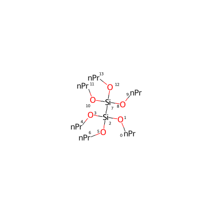 CCCO[Si](OCCC)(OCCC)[Si](OCCC)(OCCC)OCCC